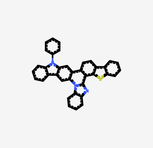 c1ccc(-n2c3ccccc3c3cc4c(cc32)c2ccc3c5ccccc5sc3c2c2nc3ccccc3n42)cc1